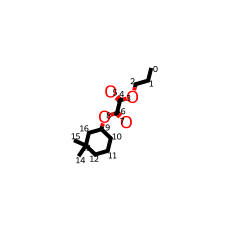 CCCOC(=O)C(=O)OC1CCCC(C)(C)C1